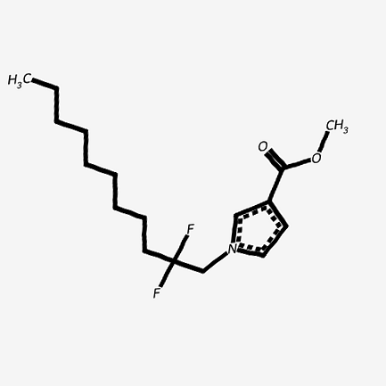 CCCCCCCCCC(F)(F)Cn1ccc(C(=O)OC)c1